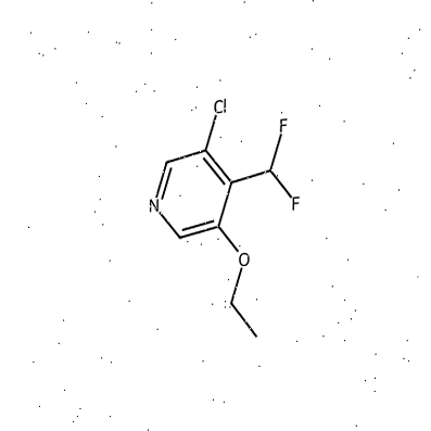 CCOc1cncc(Cl)c1C(F)F